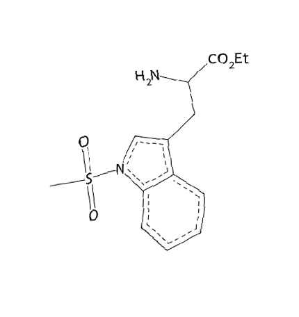 CCOC(=O)C(N)Cc1cn(S(C)(=O)=O)c2ccccc12